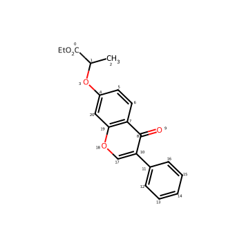 CCOC(=O)C(C)Oc1ccc2c(=O)c(-c3ccccc3)coc2c1